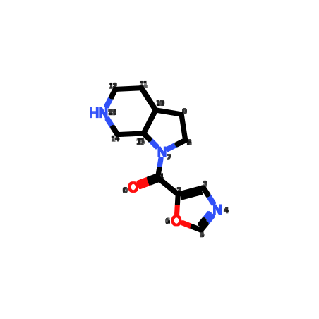 O=C(c1cnco1)N1CCC2CCNCC21